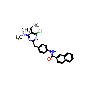 [C-]#[N+]Cc1c(Cl)nc(Cc2ccc(NC(=O)c3ccc4ccccc4c3)cc2)nc1N(C)C